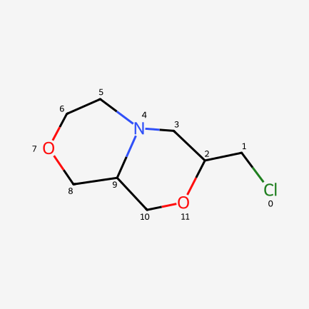 ClCC1CN2CCOCC2CO1